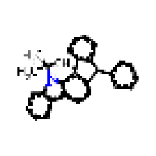 CC(C)(C)n1c2ccccc2c2ccc3c(c21)-c1ccccc1C3c1ccccc1